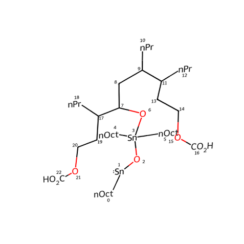 CCCCCCC[CH2][Sn][O][Sn]([CH2]CCCCCCC)([CH2]CCCCCCC)[O]C(CC(CCC)C(CCC)CCOC(=O)O)C(CCC)CCOC(=O)O